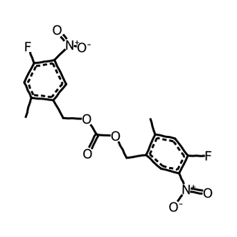 Cc1cc(F)c([N+](=O)[O-])cc1COC(=O)OCc1cc([N+](=O)[O-])c(F)cc1C